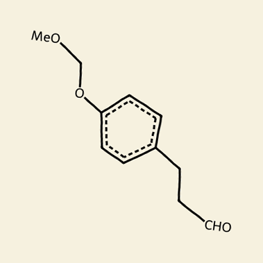 COCOc1ccc(CCC=O)cc1